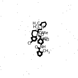 COC1(CCN2CCCCC2(C)C)CCCc2cc(Cl)ccc2N1C(=O)c1ccc(NC(=O)c2ccccc2C)cc1.Cl.Cl